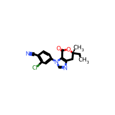 CC[C@]1(C)Cc2ncn(-c3ccc(C#N)c(Cl)c3)c2C(=O)O1